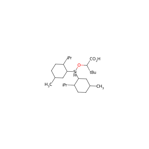 CC1CCC(C(C)C)C([SiH](OC(C(=O)O)C(C)(C)C)C2CC(C)CCC2C(C)C)C1